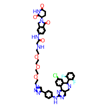 O=C1CCC(N2Cc3cc(NC(=O)CNCCOCCOCCOCCn4cc(-c5ccc(Nc6ncc7c(n6)-c6ccc(Cl)cc6C(c6c(F)cccc6F)=NC7)cc5)nn4)ccc3C2=O)C(=O)N1